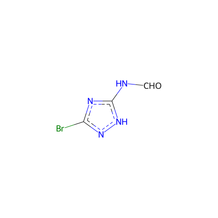 O=CNc1nc(Br)n[nH]1